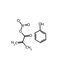 C=C(C)C(=O)O[N+](=O)[O-].Oc1ccccc1